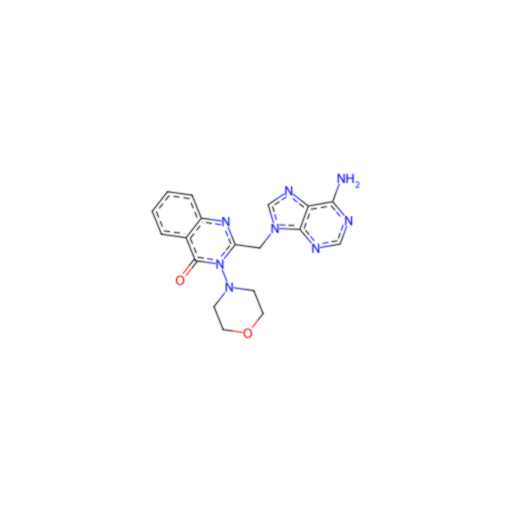 Nc1ncnc2c1ncn2Cc1nc2ccccc2c(=O)n1N1CCOCC1